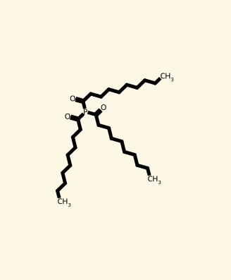 CCCCCCCCCC(=O)P(C(=O)CCCCCCCCC)C(=O)CCCCCCCCC